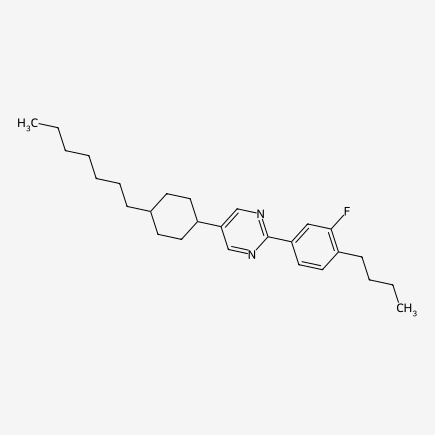 CCCCCCCC1CCC(c2cnc(-c3ccc(CCCC)c(F)c3)nc2)CC1